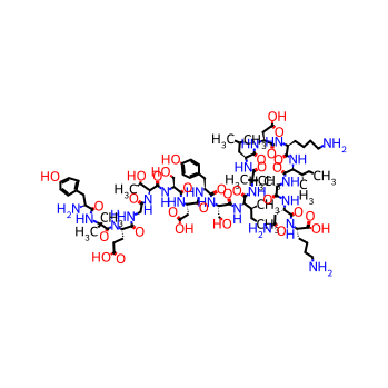 CC[C@H](C)[C@H](NC(=O)[C@H](CCCCN)NC(=O)[C@H](CC(=O)O)NC(=O)[C@H](CC(C)C)NC(=O)C(C)(C)NC(=O)[C@@H](NC(=O)[C@H](CO)NC(=O)[C@H](Cc1ccc(O)cc1)NC(=O)[C@H](CC(=O)O)NC(=O)[C@H](CO)NC(=O)[C@@H](NC(=O)CNC(=O)[C@H](CCC(=O)O)NC(=O)C(C)(C)NC(=O)[C@@H](N)Cc1ccc(O)cc1)[C@@H](C)O)[C@@H](C)CC)C(=O)N[C@@H](C)C(=O)N[C@@H](CC(N)=O)C(=O)N[C@@H](CCCCN)C(=O)O